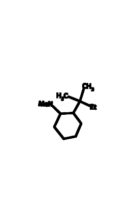 CCC(C)(C)C1CCCCC1NC